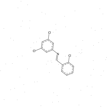 Clc1cc(Cl)cc(N=Cc2ccccc2Cl)c1